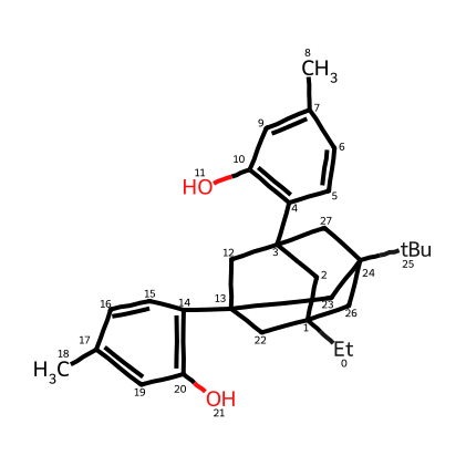 CCC12CC3(c4ccc(C)cc4O)CC(c4ccc(C)cc4O)(C1)CC(C(C)(C)C)(C2)C3